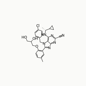 Cc1ccc(OCC(O)CO)c(-c2nc3nc(C#N)nc(N[C@H](C)C4CC4)c3n2Cc2ccc(Cl)cc2)c1